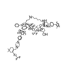 Cc1ncsc1-c1ccc([C@H](CC(=O)NCCCCCCN(C)CC[C@H](CSc2ccccc2)Nc2ccc(S(=O)(=O)NC(=O)c3ccc(N4CCN(CC5=C(C67CC(C(F)F)(C6)C7)CC(C)(C)CC5)CC4)cc3)cc2S(=O)(=O)C(F)(F)F)NC(=O)[C@@H]2C[C@@H](O)CN2C(=O)[C@@H](NC(=O)C2(F)CC2)C(C)(C)C)cc1